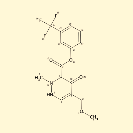 COCC1=CNN(C)C(C(=O)Oc2cccc(C(F)(F)F)c2)C1=O